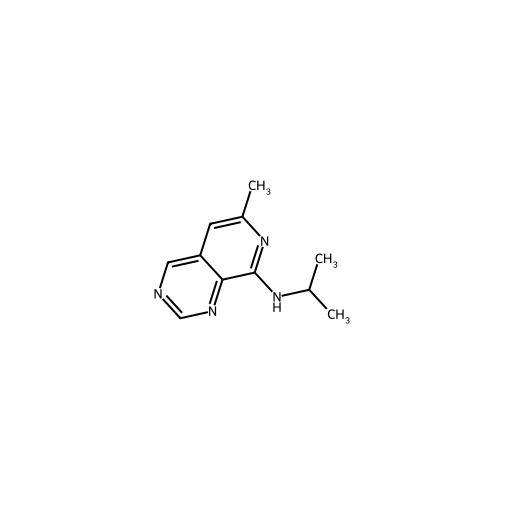 Cc1cc2cncnc2c(NC(C)C)n1